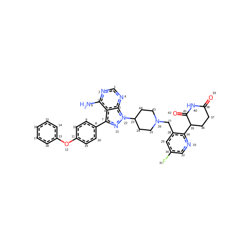 Nc1ncnc2c1c(-c1ccc(Oc3ccccc3)cc1)nn2C1CCN(Cc2cc(F)cnc2C2CCC(=O)NC2=O)CC1